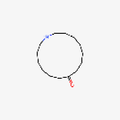 O=C1CCCCCCCNCCCCCC1